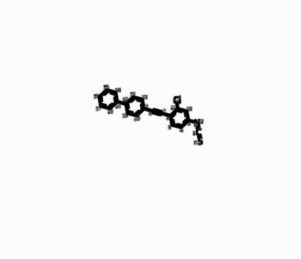 S=C=Nc1ccc(C#Cc2ccc(-c3ccccc3)cc2)c(Cl)c1